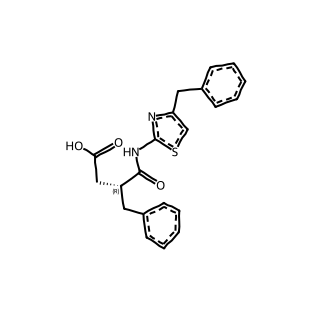 O=C(O)C[C@@H](Cc1ccccc1)C(=O)Nc1nc(Cc2ccccc2)cs1